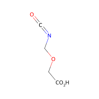 O=C=NCOCC(=O)O